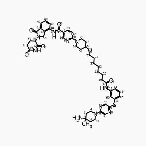 CC1(N)CCN(c2cnc(Sc3cccc(NC(=O)CCCCCCCOC4CCN(c5ncc(C(=O)Nc6cccc7c6CN(C6CCC(=O)NC6=O)C7=O)cn5)CC4)c3)cn2)CC1